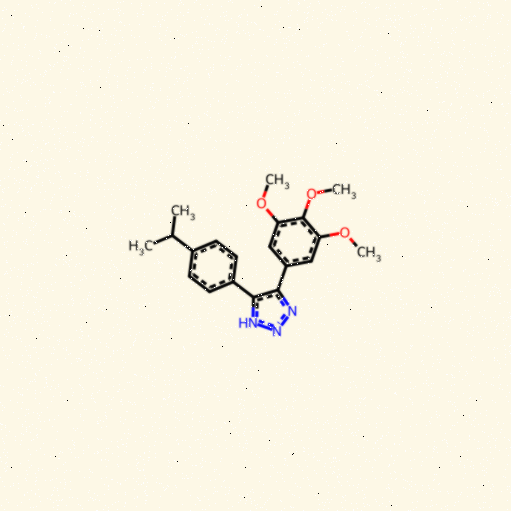 COc1cc(-c2nn[nH]c2-c2ccc(C(C)C)cc2)cc(OC)c1OC